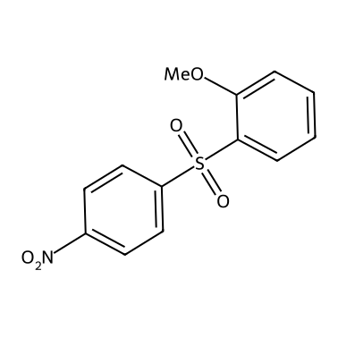 COc1ccccc1S(=O)(=O)c1ccc([N+](=O)[O-])cc1